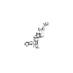 C[C@H](NC(=O)[C@H](Cc1cccnc1)NC(=O)OC(C)(C)C)C(=O)N1CCC[C@@H](C(=O)OCC(C)(C)Cl)N1